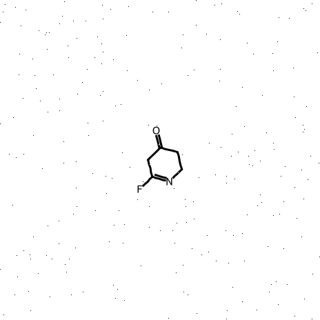 O=C1CCN=C(F)C1